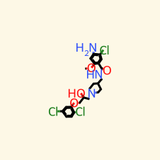 COc1cc(N)c(Cl)cc1C(=O)NCC1CCN(CC(O)COc2cc(Cl)ccc2Cl)CC1